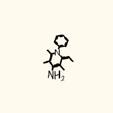 C/C=C1\C(C)=C(N)C(C)=C(C)N1c1ccccc1